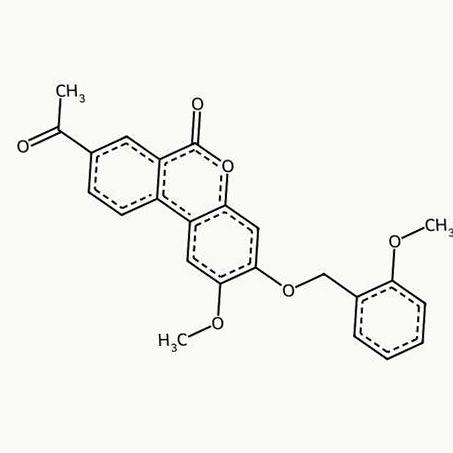 COc1ccccc1COc1cc2oc(=O)c3cc(C(C)=O)ccc3c2cc1OC